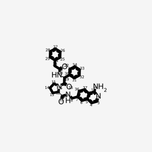 Nc1nccc2cc(CNC(=O)[C@@H]3CCCN3C(=O)[C@H](NC(=O)Cc3ccccc3)c3ccccc3)ccc12